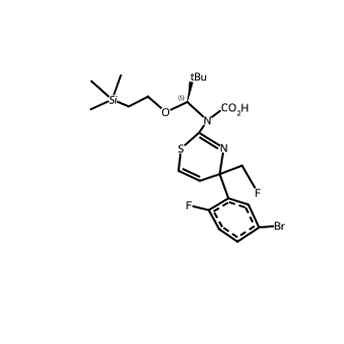 CC(C)(C)[C@H](OCC[Si](C)(C)C)N(C(=O)O)C1=NC(CF)(c2cc(Br)ccc2F)C=CS1